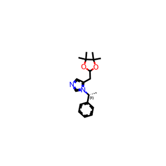 C[C@H](c1ccccc1)n1cncc1CC1OC(C)(C)C(C)(C)O1